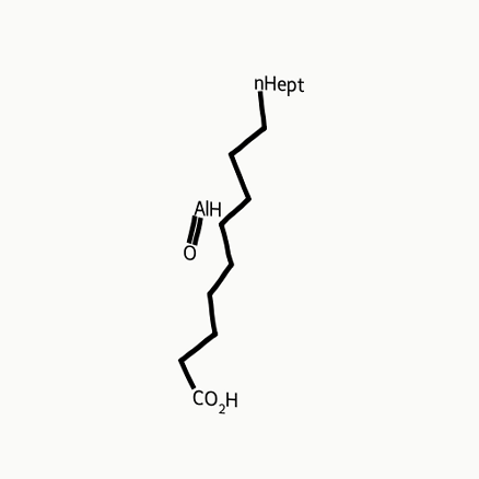 CCCCCCCCCCCCCCCC(=O)O.[O]=[AlH]